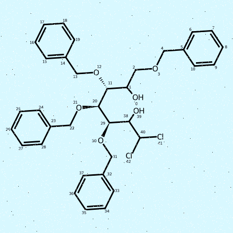 OC(COCc1ccccc1)[C@@H](OCc1ccccc1)[C@H](OCc1ccccc1)[C@H](OCc1ccccc1)C(O)C(Cl)Cl